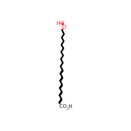 O=C(O)C=CC=CC=CC=CC=CCCCCCCCCCCCOO